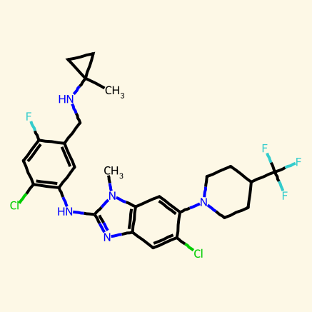 Cn1c(Nc2cc(CNC3(C)CC3)c(F)cc2Cl)nc2cc(Cl)c(N3CCC(C(F)(F)F)CC3)cc21